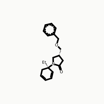 CC[C@]1(N2C[C@H](COCc3ccccc3)CC2=O)C=CC=CC1